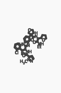 CCNC(=O)[C@H](NC(=O)C1(c2ccc3[nH]c([C@@H](NC(=O)c4ccnn4C)[C@H](c4ccccc4Cl)C(C)C)nc3c2)CCOC1)C1CCCO1